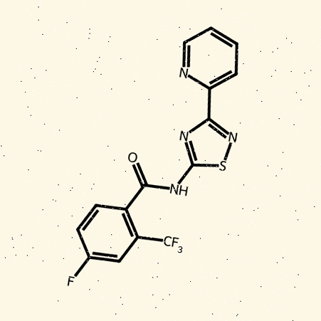 O=C(Nc1nc(-c2ccccn2)ns1)c1ccc(F)cc1C(F)(F)F